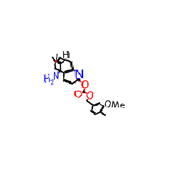 C/C=C1\[C@@H]2C=C(C)CC1(N)c1ccc(OC(=O)OCc3ccc(C)c(OC)c3)nc1C2